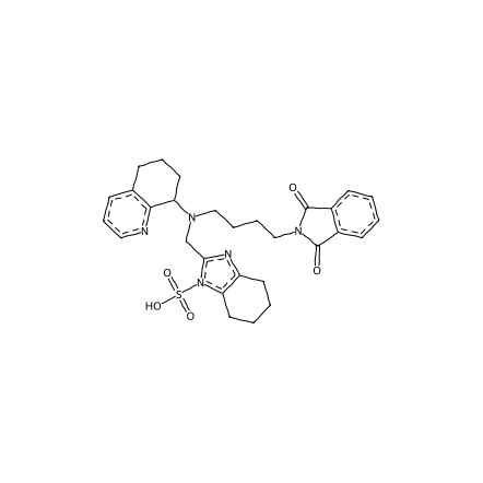 O=C1c2ccccc2C(=O)N1CCCCN(Cc1nc2c(n1S(=O)(=O)O)CCCC2)C1CCCc2cccnc21